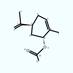 C=C(C)[C@H]1CC=C(C)[C@H](OC(C)=O)C1